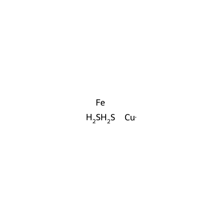 S.S.[Cu].[Fe]